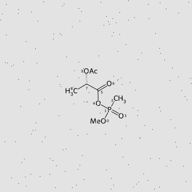 COP(C)(=O)OC(=O)[C@H](C)OC(C)=O